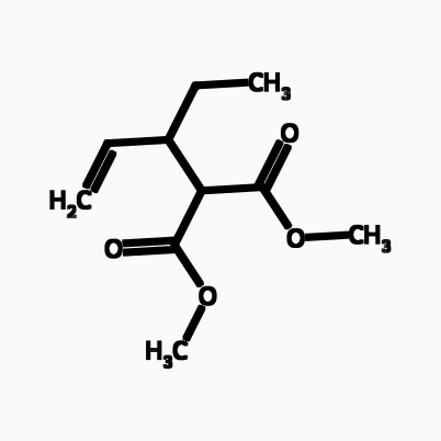 C=CC(CC)C(C(=O)OC)C(=O)OC